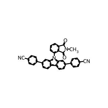 CN1C(=O)c2cccc(-n3c4cc(-c5ccc(C#N)cc5)ccc4c4ccc(-c5ccc(C#N)cc5)cc43)c2C1=O